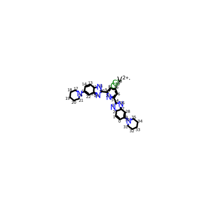 C1=CC2N=C(c3cccc(C4=NC5C=CC(N6CCCCC6)=CC5=N4)n3)N=C2C=C1N1CCCCC1.[Cl-].[Cl-].[V+2]